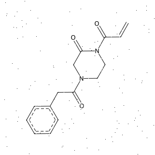 C=CC(=O)N1CCN(C(=O)Cc2ccccc2)CC1=O